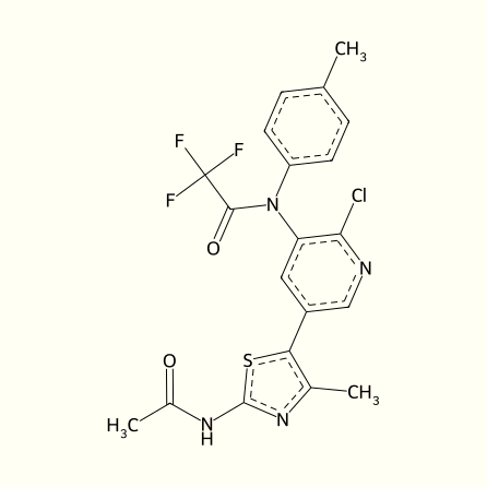 CC(=O)Nc1nc(C)c(-c2cnc(Cl)c(N(C(=O)C(F)(F)F)c3ccc(C)cc3)c2)s1